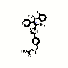 CN(CC(=O)O)Cc1ccc(-c2noc(/C(N)=C(\c3ccncc3)N(N)c3ccccc3F)n2)cc1